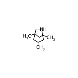 CC1CC2(C)CNC(C)(C1)C2